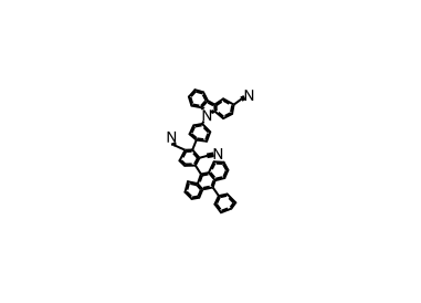 N#Cc1ccc2c(c1)c1ccccc1n2-c1ccc(-c2c(C#N)ccc(-c3c4ccccc4c(-c4ccccc4)c4ccccc34)c2C#N)cc1